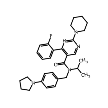 CC(C)N(Cc1ccc(N2CCCC2)cc1)C(=O)c1cnc(N2CCCCC2)nc1-c1ccccc1F